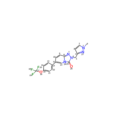 Cn1ccc(Cn2nc3ccc(-c4ccc(OC(F)(F)F)cc4)cn3c2=O)n1